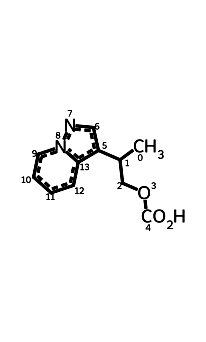 CC(COC(=O)O)c1cnn2ccccc12